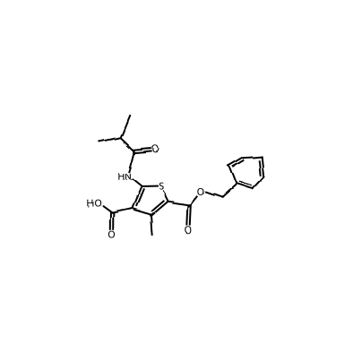 Cc1c(C(=O)OCc2ccccc2)sc(NC(=O)C(C)C)c1C(=O)O